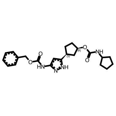 O=C(Nc1cc([C@H]2CC[C@@H](OC(=O)NC3CCCC3)C2)[nH]n1)OCc1ccccc1